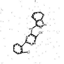 N#Cc1nnc(-c2ccccc2Cl)nc1Nc1n[nH]c2ccccc12